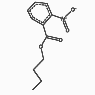 CCCCOC(=O)c1ccccc1[N+](=O)[O-]